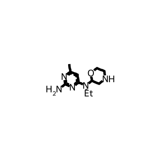 CCN(c1cc(C)nc(N)n1)C1CNCCO1